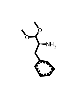 COC(OC)[C@@H](N)Cc1ccccc1